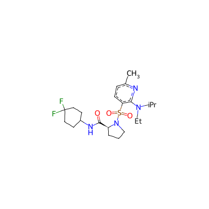 CCN(c1nc(C)ccc1S(=O)(=O)N1CCC[C@H]1C(=O)NC1CCC(F)(F)CC1)C(C)C